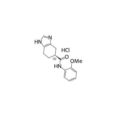 COc1ccccc1NC(=O)[C@H]1CCc2[nH]cnc2C1.Cl